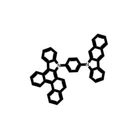 c1ccc2cc3c(cc2c1)c1ccccc1n3-c1ccc(-n2c3ccccc3c3c4ccccc4c4c5ccccc5ccc4c32)cc1